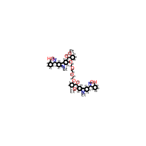 CCOc1cccc(OCCOCCOCCOc2cccc(OCC)c2C(=O)c2ccc3c(c2)c2cc(C(=NO)c4ccccc4C)ccc2n3CC)c1C(=O)c1ccc2c(c1)c1cc(C(=NO)c3ccccc3C)ccc1n2CC